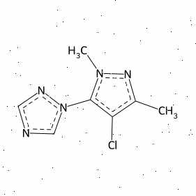 Cc1nn(C)c(-n2cncn2)c1Cl